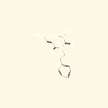 CN(C#N)C(=O)N(CCc1ccccc1)C(=O)C=CC(=O)O